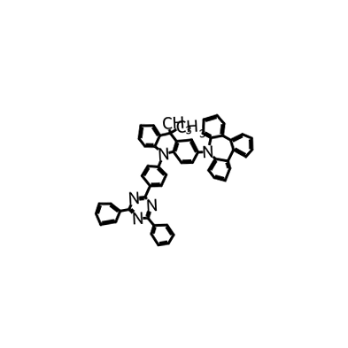 CC1(C)c2ccccc2N(c2ccc(-c3nc(-c4ccccc4)nc(-c4ccccc4)n3)cc2)c2ccc(N3c4ccccc4-c4ccccc4-c4ccccc43)cc21